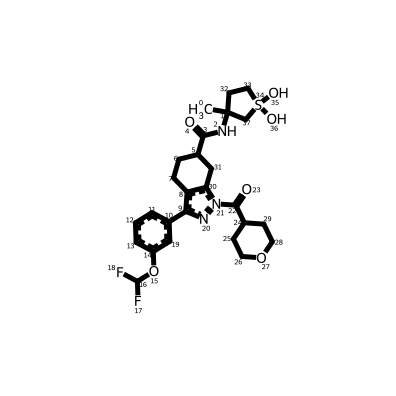 CC1(NC(=O)C2CCc3c(-c4cccc(OC(F)F)c4)nn(C(=O)C4CCOCC4)c3C2)CCS(O)(O)C1